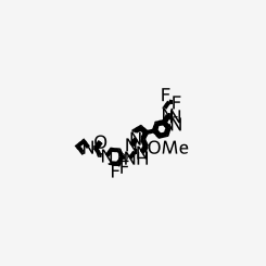 COc1nc(N[C@@H]2CCN(CC(=O)N3CCC3)CC2(F)F)nn2ccc(-c3ccc4nnn(CC(F)F)c4c3)c12